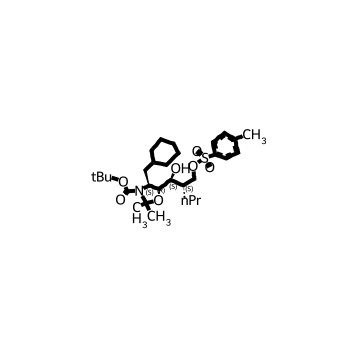 CCC[C@@H](COS(=O)(=O)c1ccc(C)cc1)[C@H](O)[C@@H]1OC(C)(C)N(C(=O)OC(C)(C)C)[C@H]1CC1CCCCC1